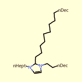 CCCCCCCCCCCCCCCCCCCC1N(CCCCCCC)C=CN1CCCCCCCCCCCC